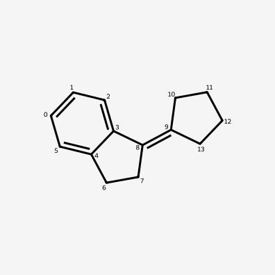 c1ccc2c(c1)CCC2=C1CCCC1